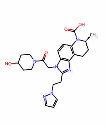 C[C@H]1CCc2c(ccc3c2nc(CCn2cccn2)n3CC(=O)N2CCC(O)CC2)N1C(=O)O